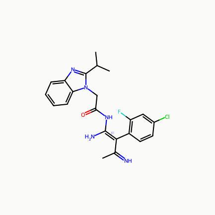 CC(=N)/C(=C(\N)NC(=O)Cn1c(C(C)C)nc2ccccc21)c1ccc(Cl)cc1F